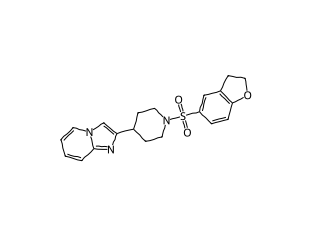 O=S(=O)(c1ccc2c(c1)CCO2)N1CCC(c2cn3ccccc3n2)CC1